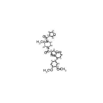 COc1ccc(-c2ccnc3cc(C(=O)N4CCN(C(=O)c5ccoc5)C(C)C4)nn23)cc1OC